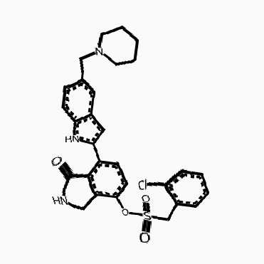 O=C1NCc2c(OS(=O)(=O)Cc3ccccc3Cl)ccc(-c3cc4cc(CN5CCCCC5)ccc4[nH]3)c21